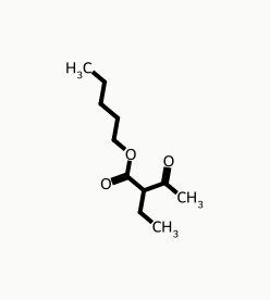 CCCCCOC(=O)C(CC)C(C)=O